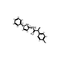 Cc1ccc(C(C)C(=O)Nc2ccn(-c3ccccc3)n2)cc1